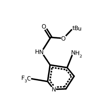 CC(C)(C)OC(=O)Nc1c(N)ccnc1C(F)(F)F